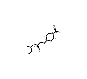 CCC(C)NC(=O)CCN1CCN(C(C)=O)CC1